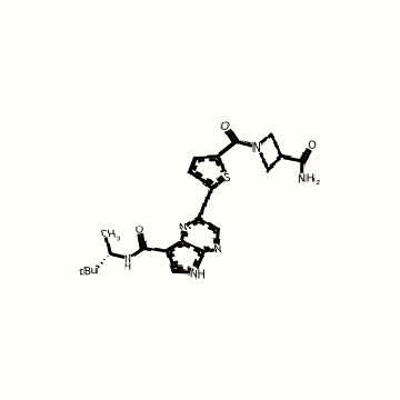 C[C@H](NC(=O)c1c[nH]c2ncc(-c3ccc(C(=O)N4CC(C(N)=O)C4)s3)nc12)C(C)(C)C